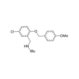 COc1ccc(COc2ccc(Cl)cc2CNC(C)(C)C)cc1